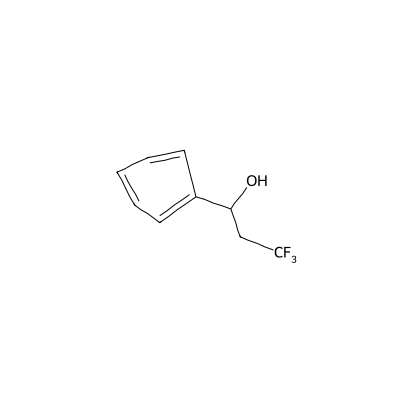 OC(CC(F)(F)F)c1ccccc1